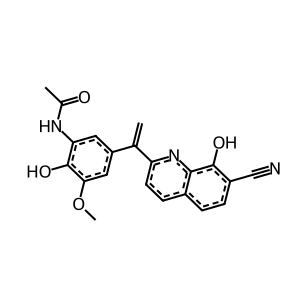 C=C(c1cc(NC(C)=O)c(O)c(OC)c1)c1ccc2ccc(C#N)c(O)c2n1